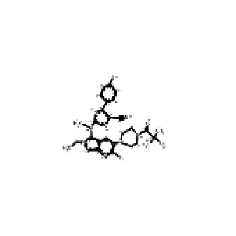 CCn1nc2nc(F)c(N3CCN(C(=O)C(C)(C)O)CC3)cc2c1N(C)c1nc(-c2ccc(F)cc2)c(C#N)s1